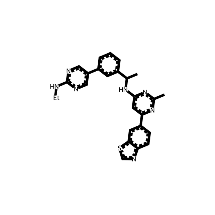 CCNc1ncc(-c2cccc(C(C)Nc3cc(-c4ccc5ncsc5c4)nc(C)n3)c2)cn1